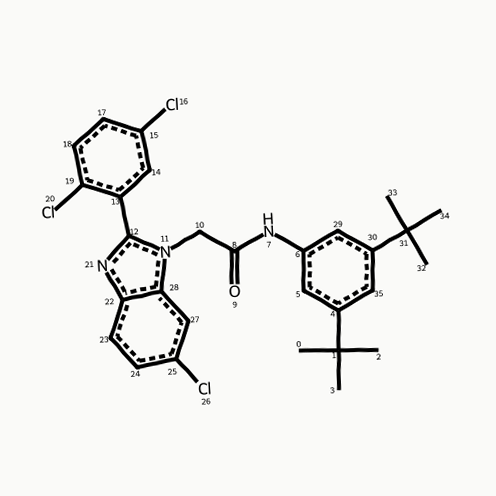 CC(C)(C)c1cc(NC(=O)Cn2c(-c3cc(Cl)ccc3Cl)nc3ccc(Cl)cc32)cc(C(C)(C)C)c1